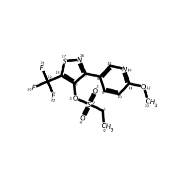 CCS(=O)(=O)Oc1c(-c2ccc(OC)nc2)nsc1C(F)(F)F